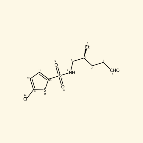 CC[C@@H](CCC=O)CNS(=O)(=O)c1ccc(Cl)s1